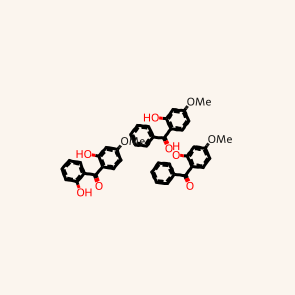 COc1ccc(C(=O)c2ccccc2)c(O)c1.COc1ccc(C(=O)c2ccccc2)c(O)c1.COc1ccc(C(=O)c2ccccc2O)c(O)c1